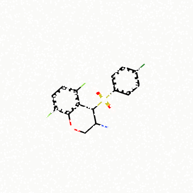 NC1COc2c(F)ccc(F)c2C1S(=O)(=O)c1ccc(Cl)cc1